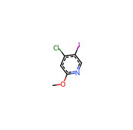 COc1cc(Cl)c(I)cn1